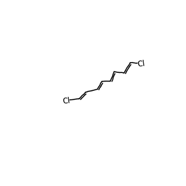 ClC=CC=CC=CC=CCl